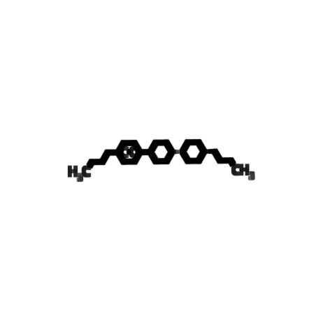 CCCCC12CCC(C3CCC([C@H]4CC[C@H](CCCC)CC4)CC3)(CC1)CC2